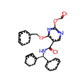 O=COc1ncc(C(=O)NC(c2ccccc2)c2ccccc2)c(OCc2ccccc2)n1